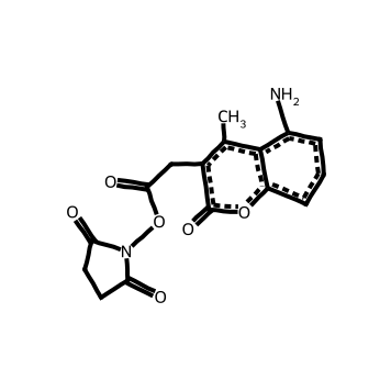 Cc1c(CC(=O)ON2C(=O)CCC2=O)c(=O)oc2cccc(N)c12